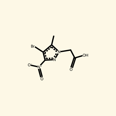 Cc1c(Br)c([N+](=O)[O-])nn1CC(=O)O